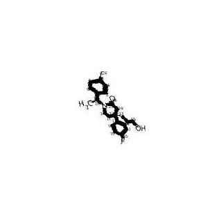 C[C@@H](c1ccc(F)cc1)N1CC[C@](CCCO)(c2ccc(F)cc2)CC1=O